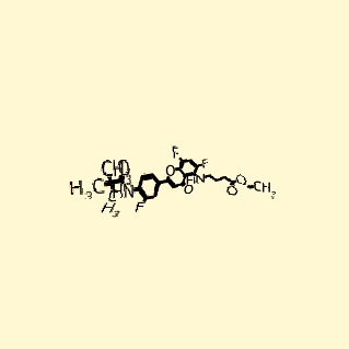 CCOC(=O)CCCNc1c(F)cc(F)c2oc(-c3ccc(NC(=O)C(C)(C)C)c(F)c3)cc(=O)c12